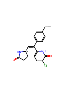 CCc1ccc(C(=C[C@H]2CCC(=O)N2)c2ccc(Cl)c(=O)[nH]2)cc1